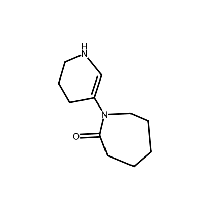 O=C1CCCCCN1C1=CNCCC1